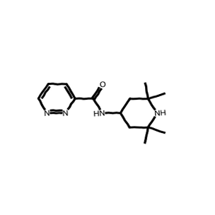 CC1(C)CC(NC(=O)c2cccnn2)CC(C)(C)N1